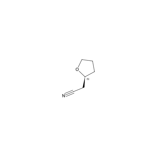 N#CC[C@@H]1CCCO1